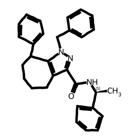 C[C@H](NC(=O)c1nn(Cc2ccccc2)c2c1CCCCC2c1ccccc1)c1ccccc1